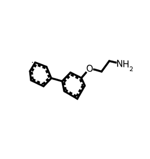 NCCOc1cccc(-c2c[c]ccc2)c1